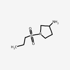 CCCS(=O)(=O)N1CCC(N)C1